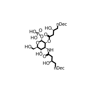 CCCCCCCCCCC[C@@H](O)CC(=O)N[C@@H]1[C@H](O)[C@@H](CO)O[C@H](OP(=O)(O)O)[C@@H]1OC(=O)C[C@H](O)CCCCCCCCCCC